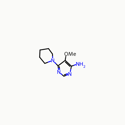 COc1c(N)ncnc1N1CCCCC1